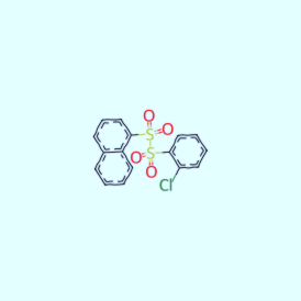 O=S(=O)(c1ccccc1Cl)S(=O)(=O)c1cccc2ccccc12